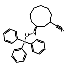 N#CC1CCCCCCC(=NO[Si](c2ccccc2)(c2ccccc2)c2ccccc2)C1